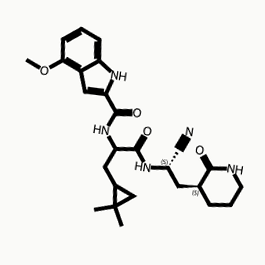 COc1cccc2[nH]c(C(=O)NC(CC3CC3(C)C)C(=O)N[C@H](C#N)C[C@@H]3CCCNC3=O)cc12